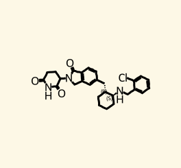 O=C1CCC(N2Cc3cc(C[C@H]4CCCC[C@@H]4NCc4ccccc4Cl)ccc3C2=O)C(=O)N1